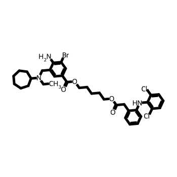 CCN(Cc1cc(C(=O)OCCCCCOC(=O)Cc2ccccc2Nc2c(Cl)cccc2Cl)cc(Br)c1N)C1CCCCCC1